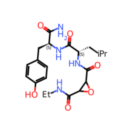 CCNC(=O)C1OC1C(=O)N[C@@H](CC(C)C)C(=O)N[C@@H](Cc1ccc(O)cc1)C(N)=O